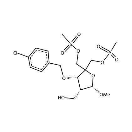 CO[C@H]1OC(COS(C)(=O)=O)(COS(C)(=O)=O)[C@@H](OCc2ccc(Cl)cc2)[C@H]1CO